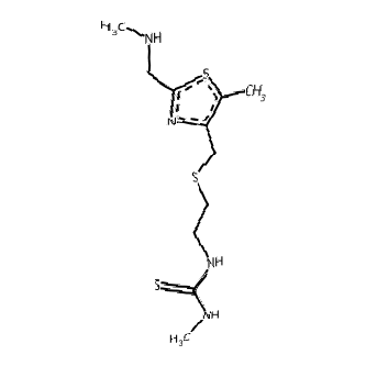 CNCc1nc(CSCCNC(=S)NC)c(C)s1